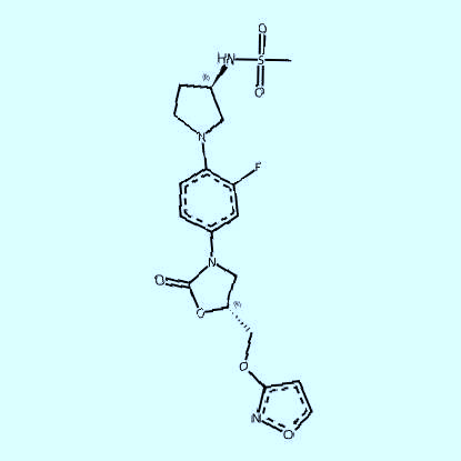 CS(=O)(=O)N[C@@H]1CCN(c2ccc(N3C[C@H](COc4ccon4)OC3=O)cc2F)C1